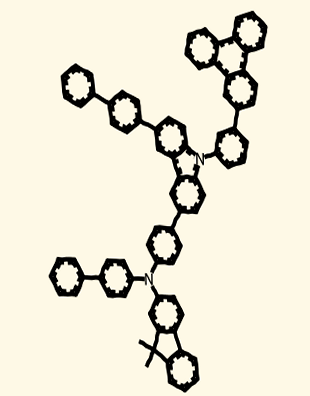 CC1(C)c2ccccc2-c2ccc(N(c3ccc(-c4ccccc4)cc3)c3ccc(-c4ccc5c(c4)c4cc(-c6ccc(-c7ccccc7)cc6)ccc4n5-c4cccc(-c5ccc6c7ccccc7c7ccccc7c6c5)c4)cc3)cc21